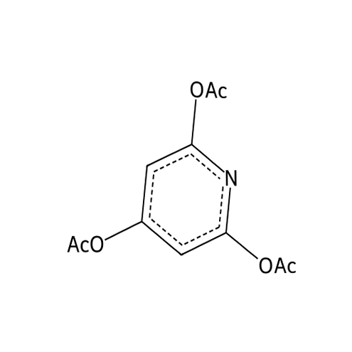 CC(=O)Oc1cc(OC(C)=O)nc(OC(C)=O)c1